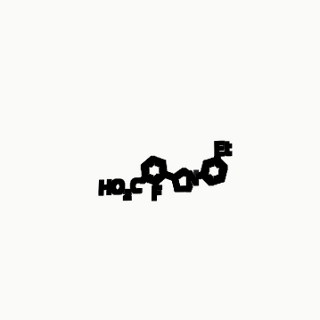 CCc1cccc(N2CCC(c3cccc(C(=O)O)c3F)C2)c1